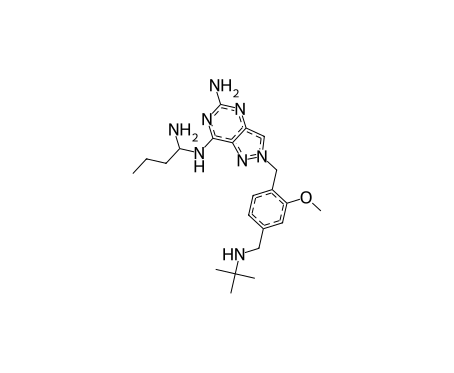 CCCC(N)Nc1nc(N)nc2cn(Cc3ccc(CNC(C)(C)C)cc3OC)nc12